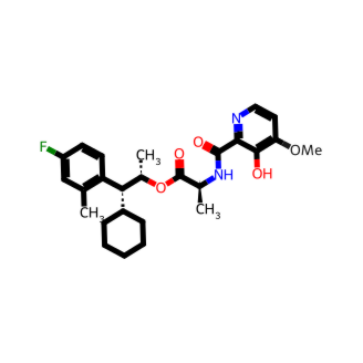 COc1ccnc(C(=O)N[C@@H](C)C(=O)O[C@@H](C)[C@@H](c2ccc(F)cc2C)C2CCCCC2)c1O